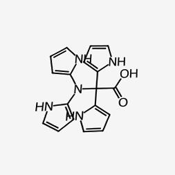 O=C(O)C(c1ccc[nH]1)(c1ccc[nH]1)N(c1ccc[nH]1)c1ccc[nH]1